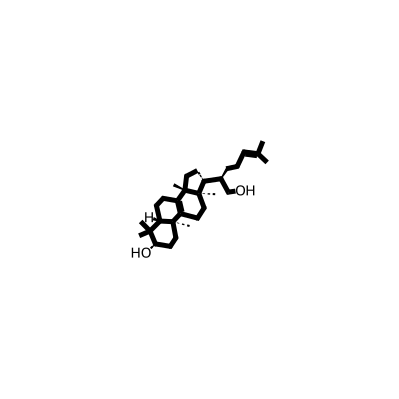 CC(C)=CCC[C@@H](CO)[C@H]1CC[C@@]2(C)C3=C(CC[C@]12C)[C@@]1(C)CC[C@H](O)C(C)(C)[C@@H]1CC3